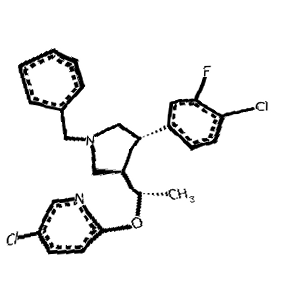 C[C@H](Oc1ccc(Cl)cn1)[C@H]1CN(Cc2ccccc2)C[C@@H]1c1ccc(Cl)c(F)c1